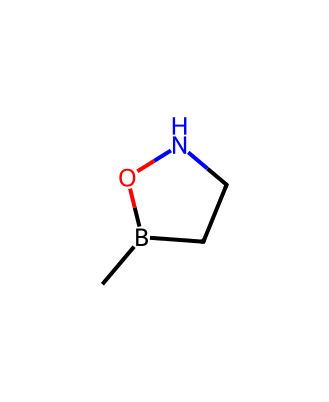 CB1CCNO1